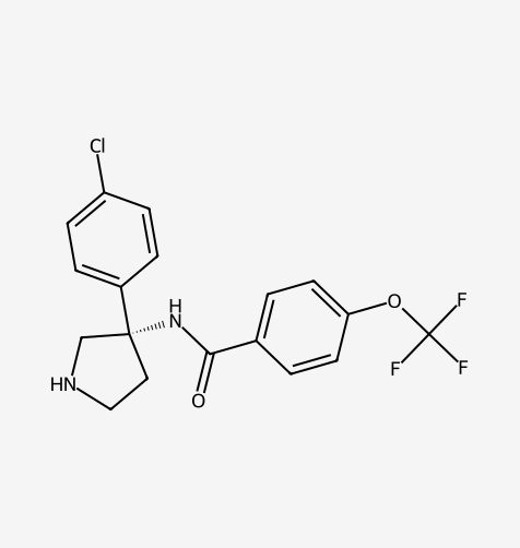 O=C(N[C@]1(c2ccc(Cl)cc2)CCNC1)c1ccc(OC(F)(F)F)cc1